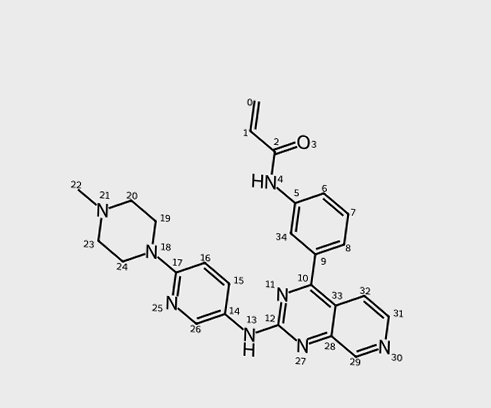 C=CC(=O)Nc1cccc(-c2nc(Nc3ccc(N4CCN(C)CC4)nc3)nc3cnccc23)c1